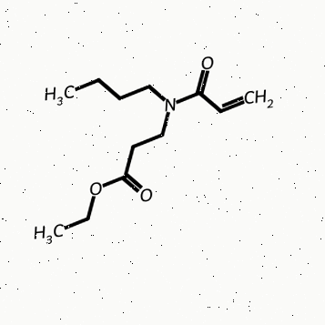 C=CC(=O)N(CCCC)CCC(=O)OCC